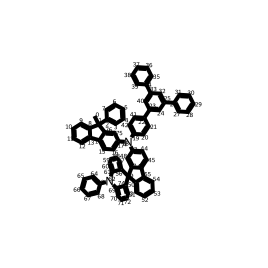 CC1(c2ccccc2)c2ccccc2-c2ccc(N(c3ccc(-c4cc(-c5ccccc5)cc(-c5ccccc5)c4)cc3)c3ccc4c(c3)C3(c5ccccc5-4)c4ccccc4N(c4ccccc4)c4ccccc43)cc21